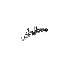 CN1CC[C@H](Oc2ccc(-c3ncnc(Nc4ccc(N5CCN(C6COC6)CC5)cc4)n3)cc2C#N)[C@H](F)C1